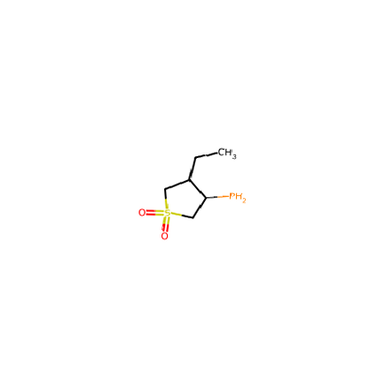 CCC1CS(=O)(=O)CC1P